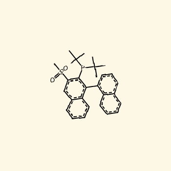 CC(C)(C)P(c1c(S(C)(=O)=O)cc2ccccc2c1-c1cccc2ccccc12)C(C)(C)C